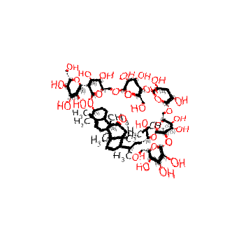 C[C@H](CC[C@@H](O[C@@H]1O[C@H](CO[C@@H]2OC[C@@H](O)C[C@H]2O)[C@@H](O)[C@H](O)[C@H]1O[C@H]1O[C@@H](CO)[C@H](O)[C@@H](O)[C@@H]1O)C(C)(C)O)C1CC[C@@]2(C)C3CC=C4C(CC[C@H](O[C@@H]5O[C@H](CO[C@@H]6O[C@H](CO)[C@@H](O)[C@H](O)[C@H]6O)[C@@H](O)[C@H](O)C5[C@H]5O[C@@H](CO)[C@H](O)[C@@H](O)[C@@H]5O)C4(C)C)[C@]3(C)C(=O)C[C@]12C